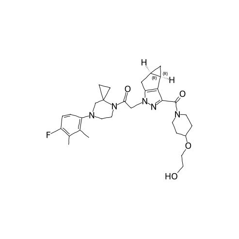 Cc1c(F)ccc(N2CCN(C(=O)Cn3nc(C(=O)N4CCC(OCCO)CC4)c4c3C[C@H]3C[C@@H]43)C3(CC3)C2)c1C